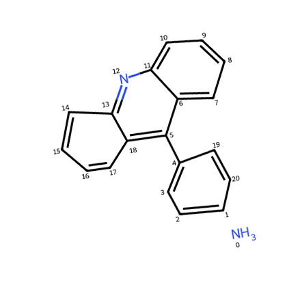 N.c1ccc(-c2c3ccccc3nc3ccccc23)cc1